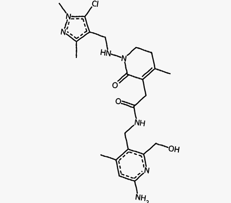 CC1=C(CC(=O)NCc2c(C)cc(N)nc2CO)C(=O)N(NCc2c(C)nn(C)c2Cl)CC1